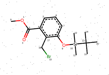 COC(=O)c1cccc(O[Si](C)(C)C(C)(C)C)c1CBr